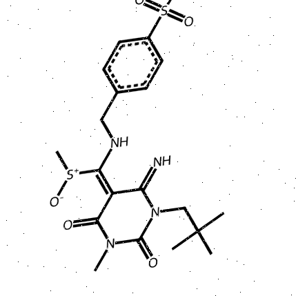 CN1C(=O)/C(=C(/NCc2ccc(S(C)(=O)=O)cc2)[S+](C)[O-])C(=N)N(CC(C)(C)C)C1=O